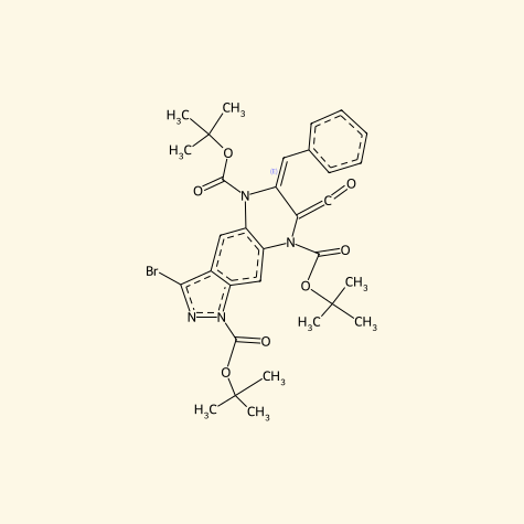 CC(C)(C)OC(=O)N1C(=C=O)/C(=C\c2ccccc2)N(C(=O)OC(C)(C)C)c2cc3c(Br)nn(C(=O)OC(C)(C)C)c3cc21